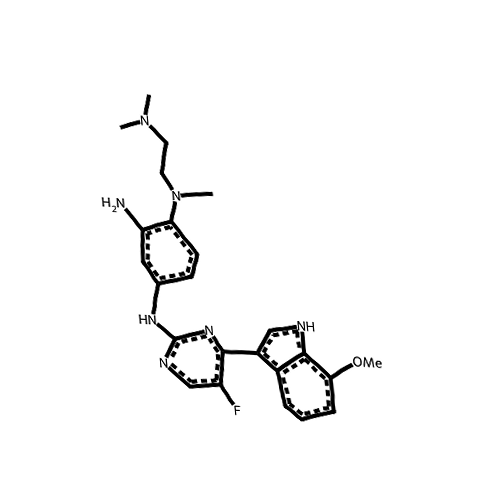 COc1cccc2c(-c3nc(Nc4ccc(N(C)CCN(C)C)c(N)c4)ncc3F)c[nH]c12